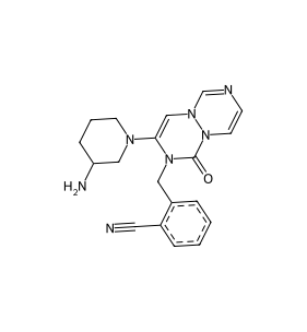 N#Cc1ccccc1CN1C(=O)N2C=CN=CN2C=C1N1CCCC(N)C1